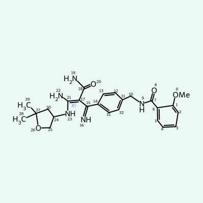 COc1ccccc1C(=O)NCc1ccc(C(=N)/C(C(N)=O)=C(/N)NC2COC(C)(C)C2)cc1